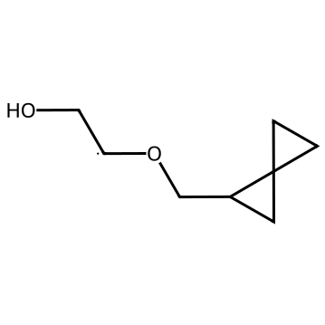 OC[CH]OCC1CC12CC2